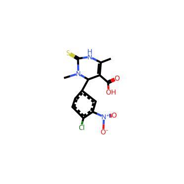 CC1=C(C(=O)O)C(c2ccc(Cl)c([N+](=O)[O-])c2)N(C)C(=S)N1